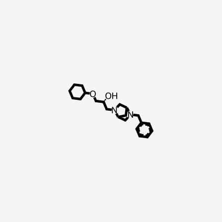 O[C@@H](COC1CCCCC1)CN1CC2CC1CN2Cc1ccccc1